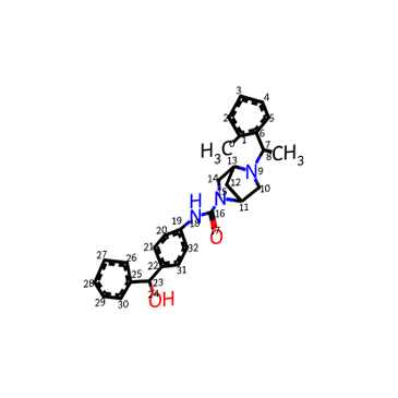 Cc1ccccc1C(C)N1CC2CC1CN2C(=O)Nc1ccc(C(O)c2ccccc2)cc1